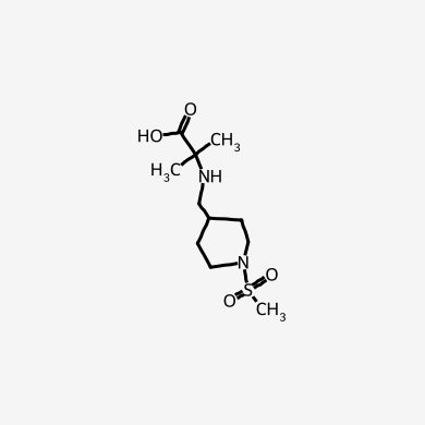 CC(C)(NCC1CCN(S(C)(=O)=O)CC1)C(=O)O